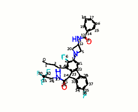 CCCCc1c(F)c(N2CC(NC(=O)c3ccccc3)C2)cc2c1C(C(=O)NCC(F)(F)F)c1cc(F)ccc1-2